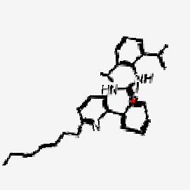 CCCCCCCc1ccc(NC(=O)Nc2c(C(C)C)cccc2C(C)C)c(-c2ccccc2Cl)n1